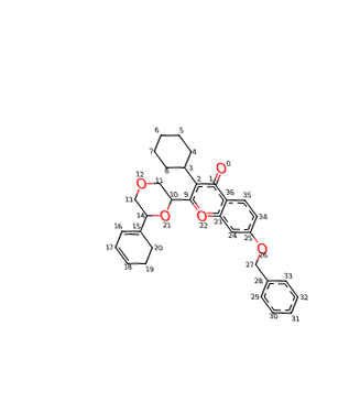 O=c1c(C2CCCCC2)c(C2COCC(C3=CC=CCC3)O2)oc2cc(OCc3ccccc3)ccc12